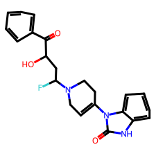 O=C(c1ccccc1)C(O)CC(F)N1CC=C(n2c(=O)[nH]c3ccccc32)CC1